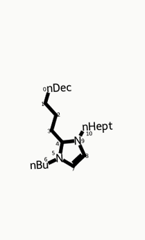 CCCCCCCCCCCCCC1N(CCCC)C=CN1CCCCCCC